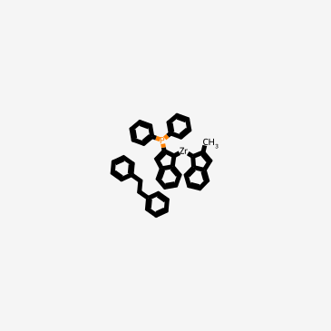 CC1=Cc2ccccc2[CH]1[Zr][CH]1C(P(c2ccccc2)c2ccccc2)=Cc2ccccc21.c1ccc(CCc2ccccc2)cc1